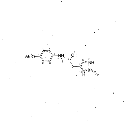 COc1ccc(NCC(O)Cc2c[nH]c(=S)[nH]2)cc1